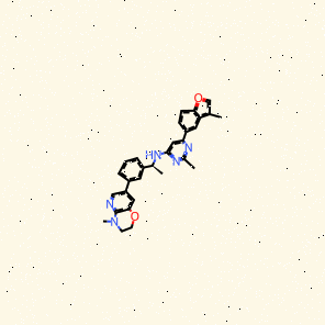 Cc1nc(N[C@@H](C)c2cccc(-c3cnc4c(c3)OCCN4C)c2)cc(-c2ccc3occ(C)c3c2)n1